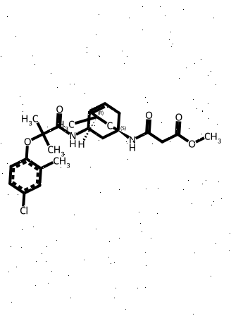 COC(=O)CC(=O)N[C@@]12CC=C(C(NC(=O)C(C)(C)Oc3ccc(Cl)cc3C)C1)[C@H](C)C2